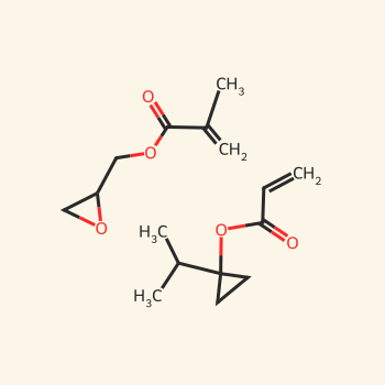 C=C(C)C(=O)OCC1CO1.C=CC(=O)OC1(C(C)C)CC1